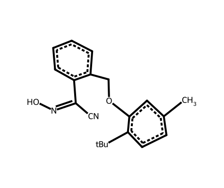 Cc1ccc(C(C)(C)C)c(OCc2ccccc2/C(C#N)=N\O)c1